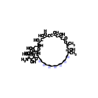 C[C@H]1C[C@H](O)[C@@H](C)/C=C/C=C/C=C/C=C/C=C/C=C/C=C/C(O[C@@H]2O[C@H](C)[C@@H](O)[C@H](N)[C@@H]2O)C[C@@H]2OC(O)(CC(O)CC(O)C(O)CCC(O)CC(O)CC(=O)O1)C[C@H](O)C2C(=O)O